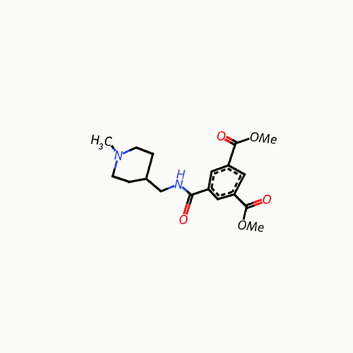 COC(=O)c1cc(C(=O)NCC2CCN(C)CC2)cc(C(=O)OC)c1